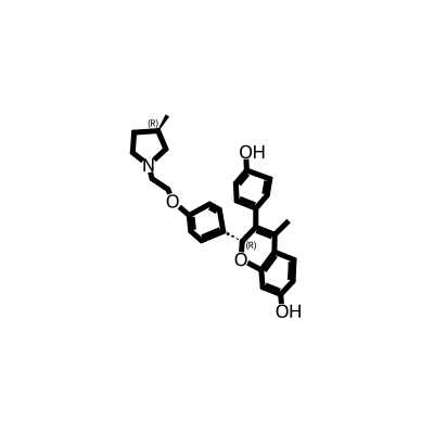 CC1=C(c2ccc(O)cc2)[C@@H](c2ccc(OCCN3CC[C@@H](C)C3)cc2)Oc2cc(O)ccc21